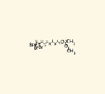 CCOC(C)OCCCCCCCCC1(Br)CC1(Br)Br